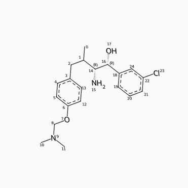 CC(Cc1ccc(OCN(C)C)cc1)[C@@H](N)[C@H](O)c1cccc(Cl)c1